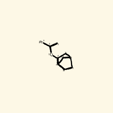 CC(C)C(C)OC1CC2CCC1C2